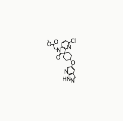 COC(=O)CN1C(=O)C2(CCC(Oc3cnc4[nH]ncc4c3)CC2)c2nc(Cl)ccc21